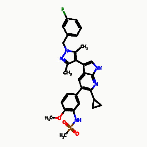 COc1ccc(-c2cc3c(-c4c(C)nn(Cc5cccc(F)c5)c4C)c[nH]c3nc2C2CC2)cc1NS(C)(=O)=O